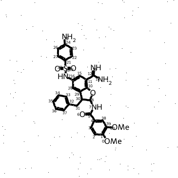 COc1ccc(C(=O)NC2Oc3c(C(=N)N)cc(NS(=O)(=O)c4ccc(N)cc4)cc3C2Cc2ccccc2)cc1OC